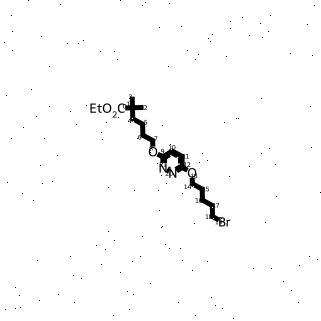 CCOC(=O)C(C)(C)CCCCOc1ccc(OCCCCCBr)nn1